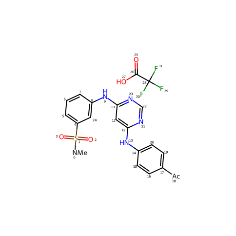 CNS(=O)(=O)c1cccc(Nc2cc(Nc3ccc(C(C)=O)cc3)ncn2)c1.O=C(O)C(F)(F)F